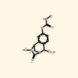 CCNC(=O)Oc1ccc2c(c1)C1CN(C(=O)N1O)C2C(=O)O